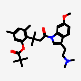 COc1ccc2c(CCN(C)C)cn(C(=O)CC(C)(C)c3c(C)cc(C)cc3OC(=O)C(C)(C)C)c2c1